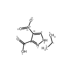 CCC.O=C(O)c1n[nH]cc1[N+](=O)[O-]